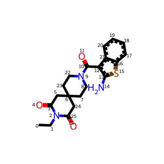 CCN1C(=O)CC2(CCN(C(=O)c3c(N)sc4ccccc34)CC2)CC1=O